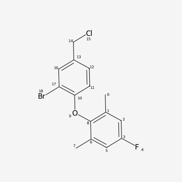 Cc1cc(F)cc(C)c1Oc1ccc(CCl)cc1Br